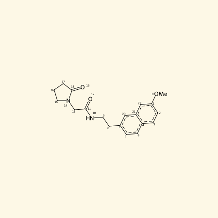 COc1ccc2ccc(CCNC(=O)CN3CCCC3=O)cc2c1